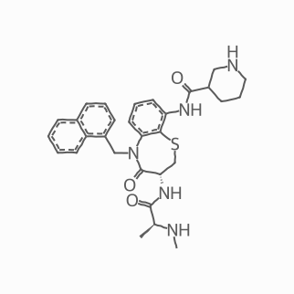 CN[C@@H](C)C(=O)N[C@H]1CSc2c(NC(=O)C3CCCNC3)cccc2N(Cc2cccc3ccccc23)C1=O